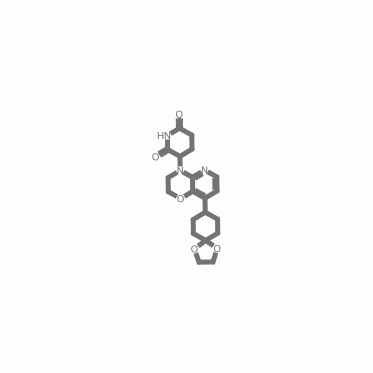 O=C1CCC(N2CCOc3c(C4CCC5(CC4)OCCO5)ccnc32)C(=O)N1